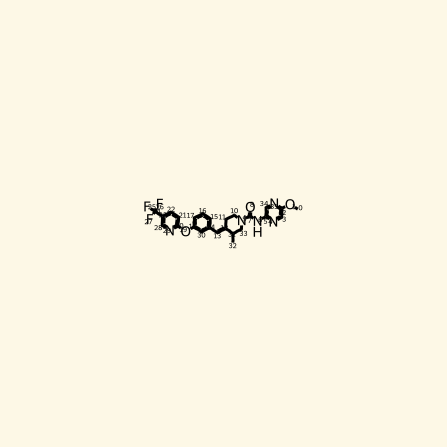 COc1cnc(NC(=O)N2CCC(=Cc3cccc(Oc4ccc(C(F)(F)F)cn4)c3)C(C)C2)cn1